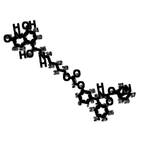 O=C(COc1cccc(C(NC(=O)OC2CN3CCC2CC3)c2ccccc2)c1)OCCCCCNCC(O)c1ccc(O)c2[nH]c(=O)ccc12